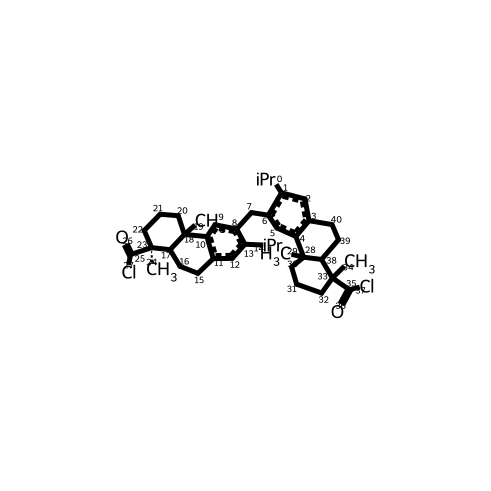 CC(C)c1cc2c(cc1Cc1cc3c(cc1C(C)C)CCC1C3(C)CCC[C@]1(C)C(=O)Cl)C1(C)CCCC(C)(C(=O)Cl)C1CC2